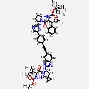 COC(=O)N[C@H](C(=O)N1CC2(CC2)C[C@H]1c1nc2ccc(C#Cc3ccc(-c4cnc([C@@H]5CCCN5C(=O)[C@H](NC(=O)OC(C)(C)C)[C@H](C)c5ccccc5)[nH]4)cc3)cc2[nH]1)C(C)C